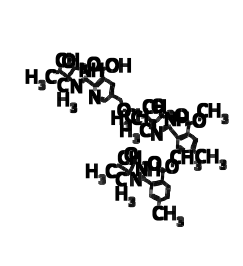 COC(=O)c1cc(C)ccc1C1=NC(C)(C(C)C)C(=O)N1.COC(=O)c1ccc(C)cc1C1=NC(C)(C(C)C)C(=O)N1.COCc1cnc(C2=NC(C)(C(C)C)C(=O)N2)c(C(=O)O)c1